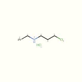 CC(C)CNCCCCl.Cl